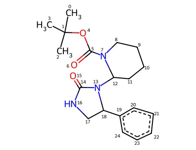 CC(C)(C)OC(=O)N1CCCCC1N1C(=O)NCC1c1ccccc1